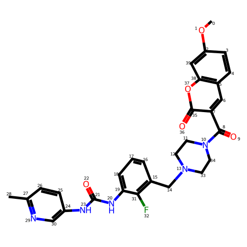 COc1ccc2cc(C(=O)N3CCN(Cc4cccc(NC(=O)Nc5ccc(C)nc5)c4F)CC3)c(=O)oc2c1